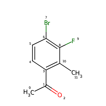 CC(=O)c1ccc(Br)c(F)c1C